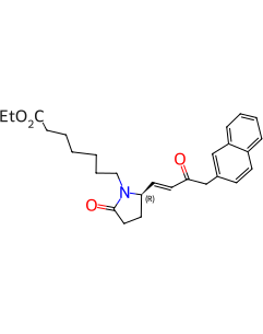 CCOC(=O)CCCCCCN1C(=O)CC[C@@H]1C=CC(=O)Cc1ccc2ccccc2c1